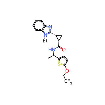 CCn1c([C@@H]2C[C@H]2C(=O)N[C@H](C)c2ccc(OCC(F)(F)F)s2)nc2ccccc21